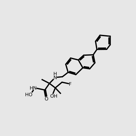 CC(O)(CF)C(C)(NCc1ccc2cc(-c3ccccc3)ccc2c1)C(=O)NO